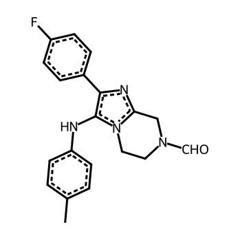 Cc1ccc(Nc2c(-c3ccc(F)cc3)nc3n2CCN(C=O)C3)cc1